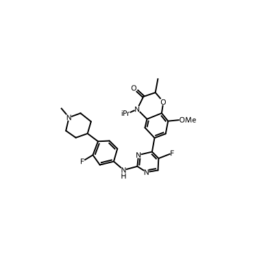 COc1cc(-c2nc(Nc3ccc(C4CCN(C)CC4)c(F)c3)ncc2F)cc2c1OC(C)C(=O)N2C(C)C